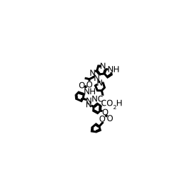 CC(OC(=O)Nc1ccccc1N=Nc1ccc(OC(=O)OCc2ccccc2)c(C(=O)O)c1)c1nc2cnc3[nH]ccc3c2n1N1CCC(CC#N)CC1